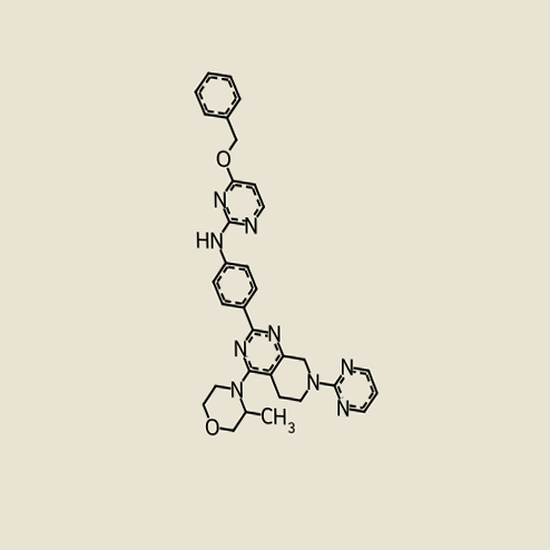 CC1COCCN1c1nc(-c2ccc(Nc3nccc(OCc4ccccc4)n3)cc2)nc2c1CCN(c1ncccn1)C2